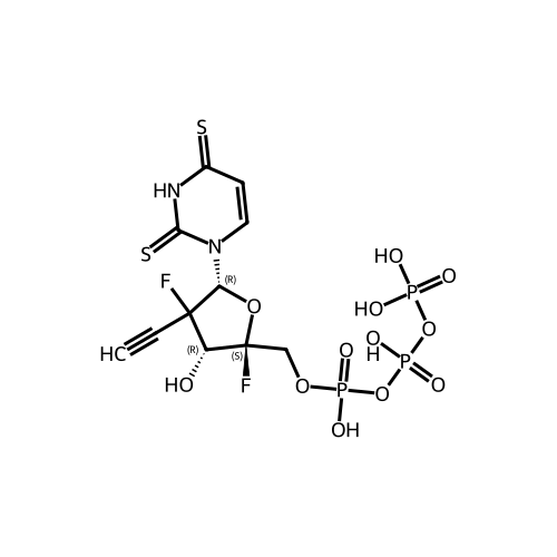 C#CC1(F)[C@@H](O)[C@@](F)(COP(=O)(O)OP(=O)(O)OP(=O)(O)O)O[C@H]1n1ccc(=S)[nH]c1=S